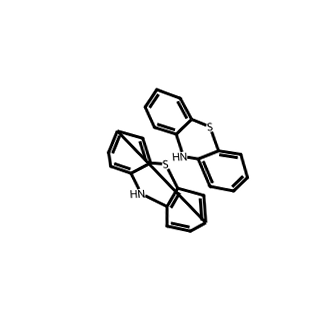 c1cc2c3cc1-c1ccc(c(c1)S3)N2.c1ccc2c(c1)Nc1ccccc1S2